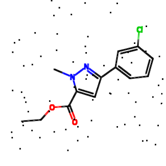 CCOC(=O)c1cc(-c2cccc(Cl)c2)nn1C